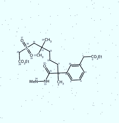 CCOC(=O)Cc1cccc(C(C)(CCCC(C)(C)CS(=O)(=O)CC(=O)OCC)C(=O)NNC)c1